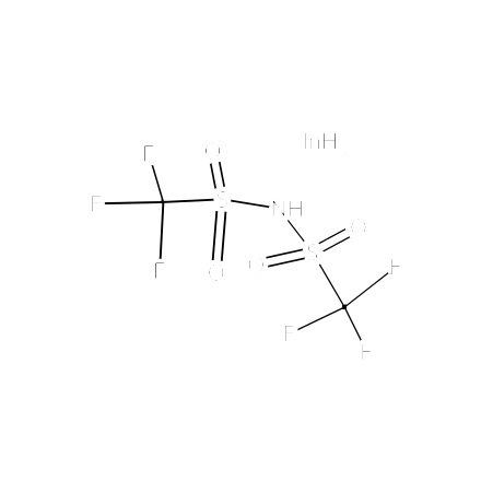 O=S(=O)(NS(=O)(=O)C(F)(F)F)C(F)(F)F.[InH3]